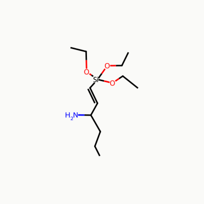 CCCC(N)C=C[Si](OCC)(OCC)OCC